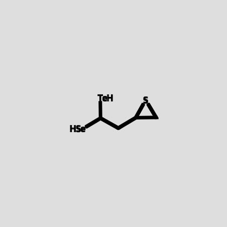 [SeH]C([TeH])CC1CS1